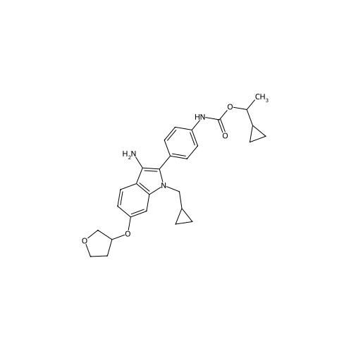 CC(OC(=O)Nc1ccc(-c2c(N)c3ccc(OC4CCOC4)cc3n2CC2CC2)cc1)C1CC1